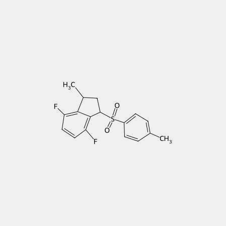 Cc1ccc(S(=O)(=O)C2CC(C)c3c(F)ccc(F)c32)cc1